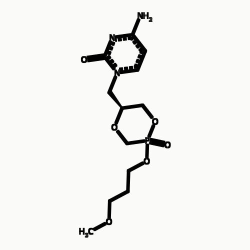 COCCCOP1(=O)CO[C@@H](Cn2ccc(N)nc2=O)CO1